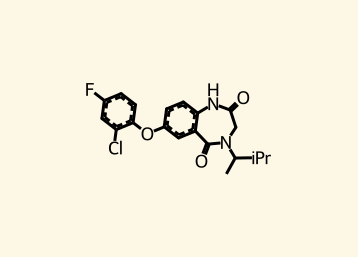 CC(C)C(C)N1CC(=O)Nc2ccc(Oc3ccc(F)cc3Cl)cc2C1=O